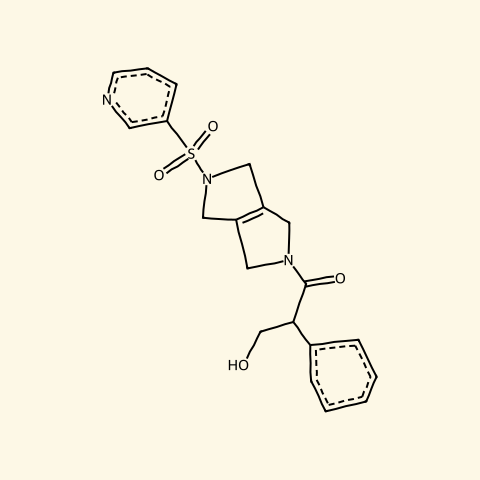 O=C(C(CO)c1ccccc1)N1CC2=C(C1)CN(S(=O)(=O)c1cccnc1)C2